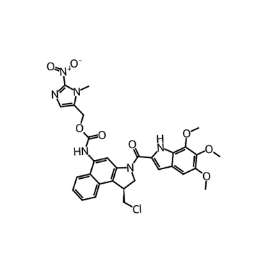 COc1cc2cc(C(=O)N3C[C@@H](CCl)c4c3cc(NC(=O)OCc3cnc([N+](=O)[O-])n3C)c3ccccc43)[nH]c2c(OC)c1OC